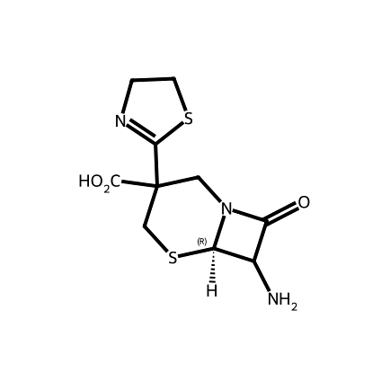 NC1C(=O)N2CC(C(=O)O)(C3=NCCS3)CS[C@H]12